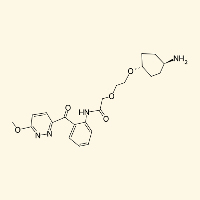 COc1ccc(C(=O)c2ccccc2NC(=O)COCCO[C@H]2CC[C@H](N)CC2)nn1